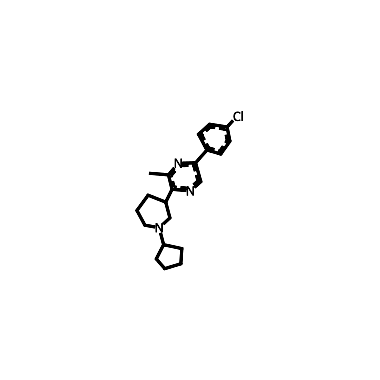 Cc1nc(-c2ccc(Cl)cc2)cnc1C1CCCN(C2CCCC2)C1